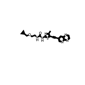 Cc1nc(NC(=O)NCCOCC2CC2)sc1C#Cc1cnc2nccnc2c1